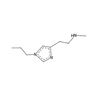 CCCn1cnc(CCNC)c1